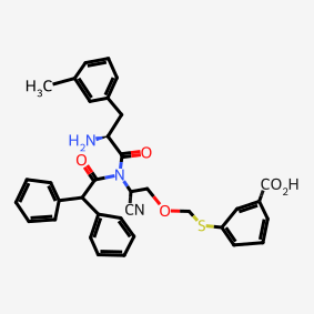 Cc1cccc(C[C@H](N)C(=O)N(C(=O)C(c2ccccc2)c2ccccc2)C(C#N)COCSc2cccc(C(=O)O)c2)c1